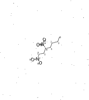 CCCCC(C[CH][N+](=O)[O-])[N+](=O)[O-]